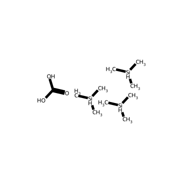 C[SiH](C)C.C[SiH](C)C.C[SiH](C)C.O=C(O)O